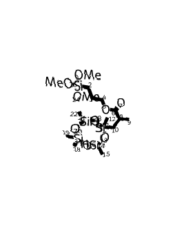 CO[Si](CCCOC(=O)C(C)C[Si]1(C)O[SiH](C)O[Si](C)(C)O[SiH](C)O1)(OC)OC